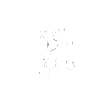 COc1cc(CC(=O)N2CCCCC2C(=O)OC2CC=CC2)cc(OC)c1OC